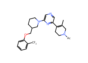 CC(=O)N1CCC(c2cncc(N3CCCC(COc4ccccc4C(F)(F)F)C3)n2)=C(C)C1